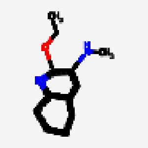 CCOc1nc2ccccc2cc1NC